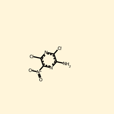 Nc1nc([N+](=O)[O-])c(Cl)nc1Cl